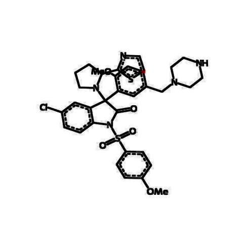 COc1ccc(S(=O)(=O)N2C(=O)C(c3cc(CN4CCNCC4)ccc3OC)(N3CCCC3c3nccs3)c3cc(Cl)ccc32)cc1